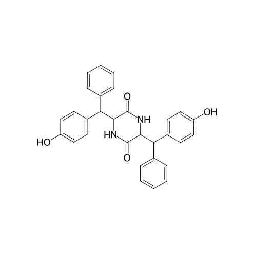 O=C1NC(C(c2ccccc2)c2ccc(O)cc2)C(=O)NC1C(c1ccccc1)c1ccc(O)cc1